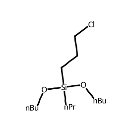 CCCCO[Si](CCC)(CCCCl)OCCCC